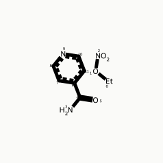 CCO[N+](=O)[O-].NC(=O)c1ccncc1